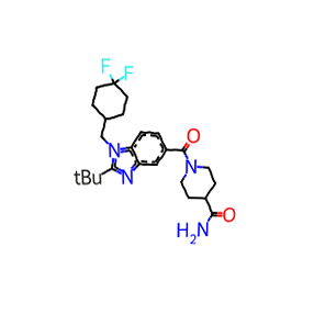 CC(C)(C)c1nc2cc(C(=O)N3CCC(C(N)=O)CC3)ccc2n1CC1CCC(F)(F)CC1